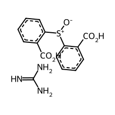 N=C(N)N.O=C(O)c1ccccc1[S+]([O-])c1ccccc1C(=O)O